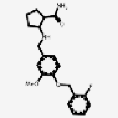 COc1cc(CNC2CCCC2C(N)=O)ccc1OCc1ccccc1F